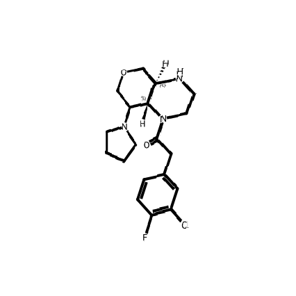 O=C(Cc1ccc(F)c(Cl)c1)N1CCN[C@@H]2COCC(N3CCCC3)[C@H]21